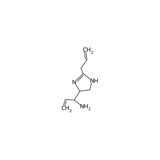 C=CCC1=NC(C(N)C=C)CN1